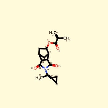 C=C(C)C(=O)OC1CC2CC1C1C(=O)N(C(C)=C3CC3)C(=O)C21